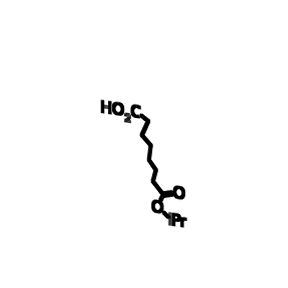 CC(C)OC(=O)CCCCCCC(=O)O